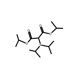 CC(C)OC(=O)C(C(=O)OC(C)C)N(C(C)C)C(C)C